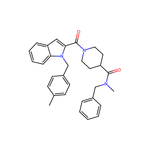 Cc1ccc(Cn2c(C(=O)N3CCC(C(=O)N(C)Cc4ccccc4)CC3)cc3ccccc32)cc1